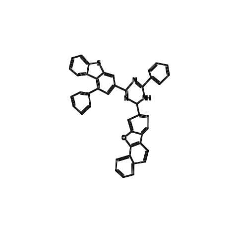 c1ccc(C2=NC(c3cc(-c4ccccc4)c4c(c3)sc3ccccc34)=NC(c3ccc4c(c3)oc3c5ccccc5ccc43)N2)cc1